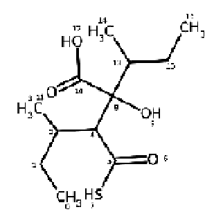 CCC(C)C(C(=O)S)C(O)(C(=O)O)C(C)CC